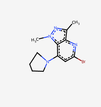 Cc1nn(C)c2c(N3CCCC3)cc(Br)nc12